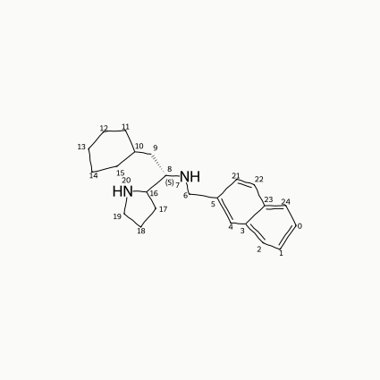 c1ccc2cc(CN[C@@H](CC3CCCCC3)C3CCCN3)ccc2c1